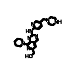 OCc1cc2cnc(Nc3ccc(CN4CCNCC4)cn3)nc2c(N2CCCCC2)n1